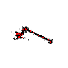 CCCCCOc1cc2c(cc1OC)C(=O)N1C=C(C)C[C@H]1[C@H](O)N2C(=O)OCc1ccc(NC(=O)[C@H](C)NC(=O)[C@@H](NC(=O)CCOCCOCCOCCOCCOCCOCCOCCOCCNC(=O)CCN2C(=O)CCC2=O)C(C)C)cc1